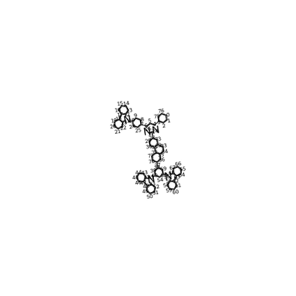 c1ccc(-c2cc(-c3ccc(-n4c5ccccc5c5ccccc54)cc3)nc(-c3ccc4c(ccc5cc(-c6cc(-n7c8ccccc8c8ccccc87)cc(-n7c8ccccc8c8ccccc87)c6)ccc54)c3)n2)cc1